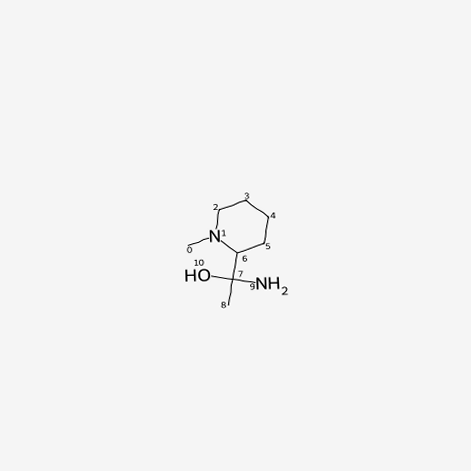 CN1CCCCC1C(C)(N)O